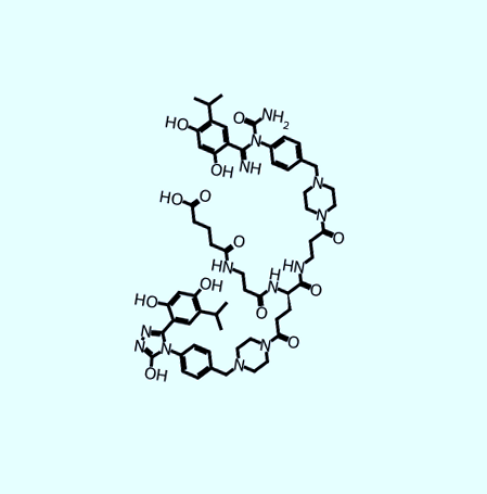 CC(C)c1cc(C(=N)N(C(N)=O)c2ccc(CN3CCN(C(=O)CCNC(=O)[C@@H](CCC(=O)N4CCN(Cc5ccc(-n6c(O)nnc6-c6cc(C(C)C)c(O)cc6O)cc5)CC4)NC(=O)CCNC(=O)CCCC(=O)O)CC3)cc2)c(O)cc1O